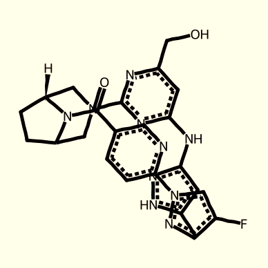 Cc1cc(Nc2cc(CO)nc(N3CC4CC[C@H](C3)N4C(=O)c3ccc(-n4cc(F)cn4)nc3)n2)n[nH]1